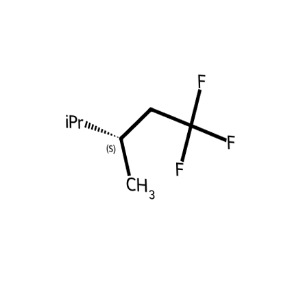 CC(C)[C@@H](C)CC(F)(F)F